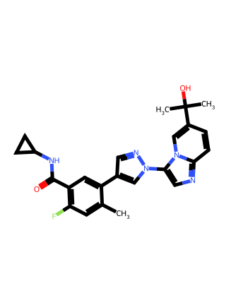 Cc1cc(F)c(C(=O)NC2CC2)cc1-c1cnn(-c2cnc3ccc(C(C)(C)O)cn23)c1